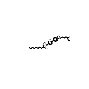 CCCCCCCCC1COC(c2ccc(-c3ccc(OCCCCC(C)CC)cc3)nc2)OC1